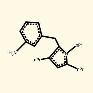 CCCc1cc(CCC)n(CCC)c1Cc1cccc(N)c1